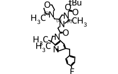 C[C@@H]1CN(CC(=O)N2CC(C)(C)c3ncc(Cc4ccc(F)cc4)cc32)[C@@H](CN2CCOC[C@@H]2C)CN1C(=O)OC(C)(C)C